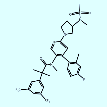 Cc1cc(F)ccc1-c1cc(N2CCC(N(C)S(C)(=O)=O)C2)ncc1N(C)C(=O)C(C)(C)c1cc(C(F)(F)F)cc(C(F)(F)F)c1